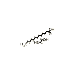 CCCCCCCCCCCCC(=O)O.OCCO